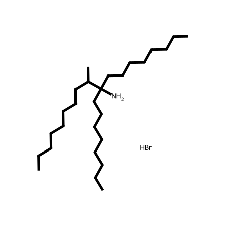 Br.CCCCCCCCC(C)C(N)(CCCCCCCC)CCCCCCCC